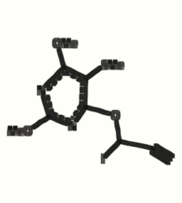 C#CC(I)Oc1nc(OC)nc(OC)c1SC